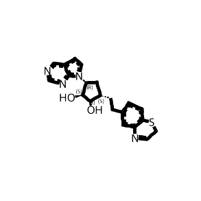 O[C@@H]1[C@@H](CCc2ccc3c(c2)N=CCS3)C[C@@H](n2ccc3cncnc32)[C@@H]1O